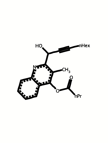 CCCCCCC#CC(O)c1nc2ccccc2c(OC(=O)CCC)c1C